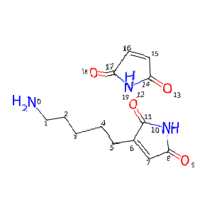 NCCCCCC1=CC(=O)NC1=O.O=C1C=CC(=O)N1